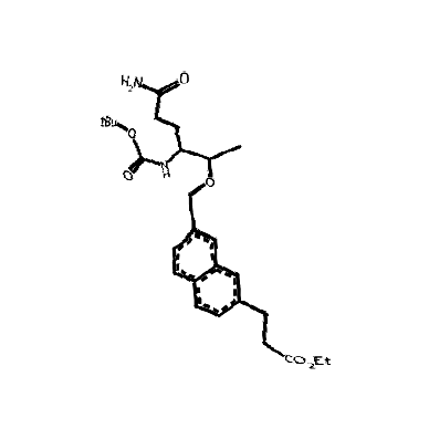 CCOC(=O)CCc1ccc2ccc(COC(C)C(CCC(N)=O)NC(=O)OC(C)(C)C)cc2c1